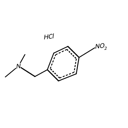 CN(C)Cc1ccc([N+](=O)[O-])cc1.Cl